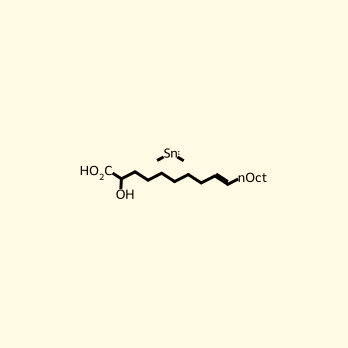 CCCCCCCCC=CCCCCCCC(O)C(=O)O.[CH3][Sn][CH3]